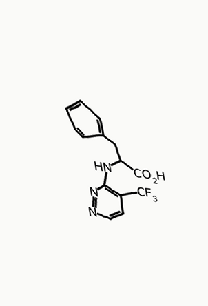 O=C(O)C(Cc1ccccc1)Nc1nnccc1C(F)(F)F